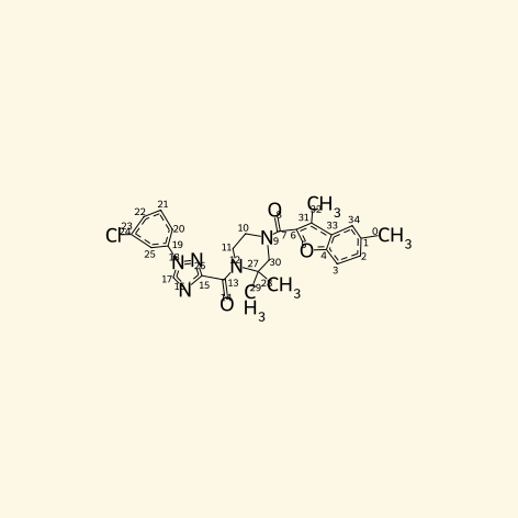 Cc1ccc2oc(C(=O)N3CCN(C(=O)c4ncn(-c5cccc(Cl)c5)n4)C(C)(C)C3)c(C)c2c1